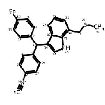 [C-]#[N+]c1ccc(C(c2ccc(F)cc2)c2c[nH]c3c(CSC)cccc23)cc1